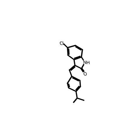 CC(C)c1ccc(C=C2C(=O)Nc3ccc(Cl)cc32)cc1